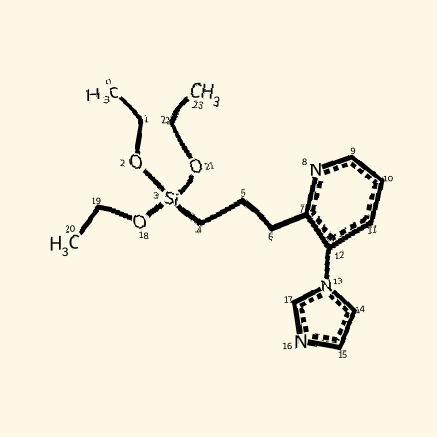 CCO[Si](CCCc1ncccc1-n1ccnc1)(OCC)OCC